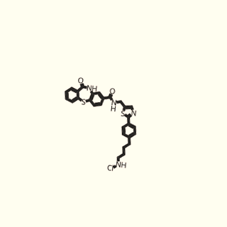 O=C(NCc1cnc(-c2ccc(CCCCNCl)cc2)s1)c1ccc2c(c1)NC(=O)c1ccccc1S2